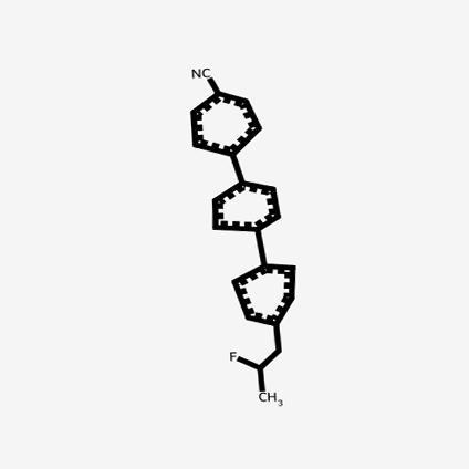 CC(F)Cc1ccc(-c2ccc(-c3ccc(C#N)cc3)cc2)cc1